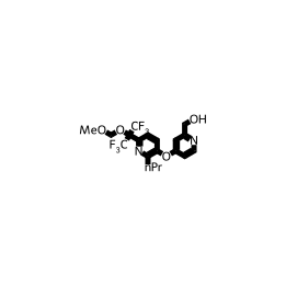 CCCc1nc(C(OCOC)(C(F)(F)F)C(F)(F)F)ccc1Oc1ccnc(CO)c1